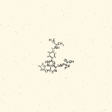 CCC(C)NCc1ccc(C(=O)NN(c2nc(C#N)ncc2Cl)C2CCCC2)cc1.O=C(O)C(F)(F)F